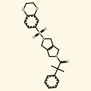 CC(C)(C(=O)N1CC2=C(C1)CN(S(=O)(=O)c1ccc3c(c1)OCCO3)C2)c1ccccc1